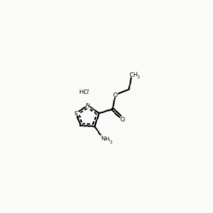 CCOC(=O)c1nscc1N.Cl